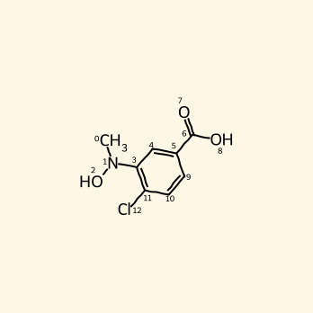 CN(O)c1cc(C(=O)O)ccc1Cl